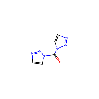 O=C(n1ccnn1)n1ccnn1